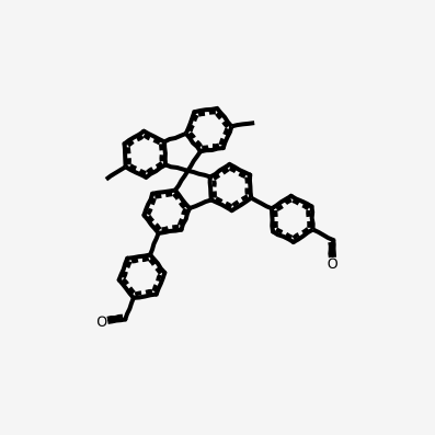 Cc1ccc2c(c1)C1(c3ccc(-c4ccc(C=O)cc4)cc3-c3cc(-c4ccc(C=O)cc4)ccc31)c1cc(C)ccc1-2